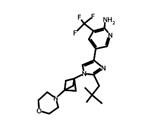 CC(C)(C)Cc1nc(-c2cnc(N)c(C(F)(F)F)c2)cn1C12CC(N3CCOCC3)(C1)C2